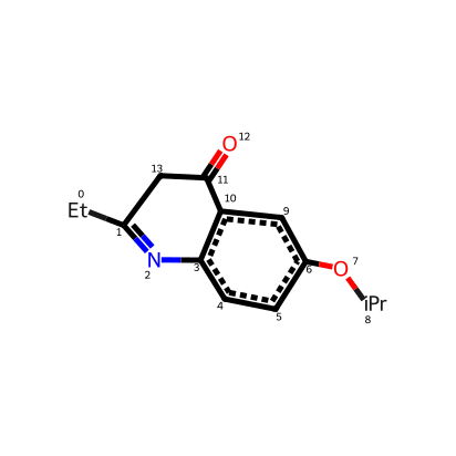 CCC1=Nc2ccc(OC(C)C)cc2C(=O)C1